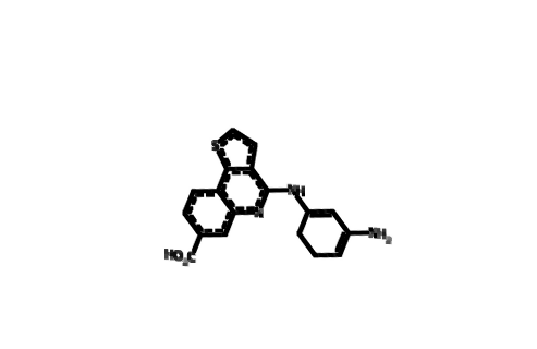 NC1=CCCC(Nc2nc3cc(C(=O)O)ccc3c3sccc23)=C1